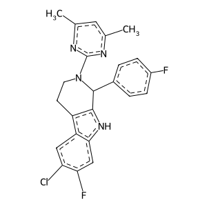 Cc1cc(C)nc(N2CCc3c([nH]c4cc(F)c(Cl)cc34)C2c2ccc(F)cc2)n1